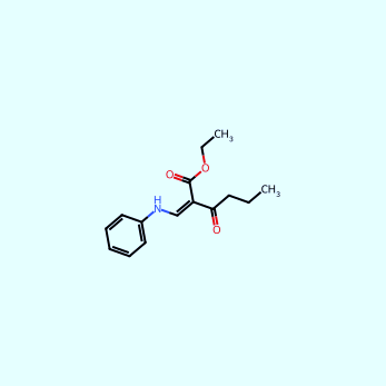 CCCC(=O)C(=CNc1ccccc1)C(=O)OCC